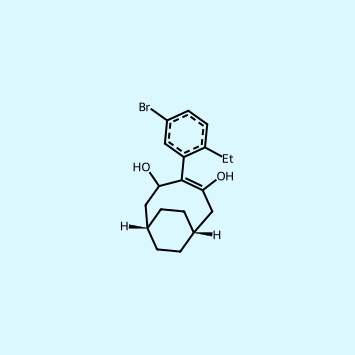 CCc1ccc(Br)cc1/C1=C(\O)C[C@H]2CC[C@H](CC2)CC1O